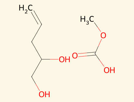 C=CCC(O)CO.COC(=O)O